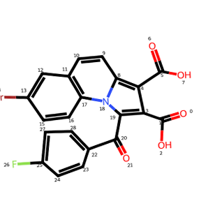 O=C(O)c1c(C(=O)O)c2ccc3cc(Br)ccc3n2c1C(=O)c1ccc(F)cc1